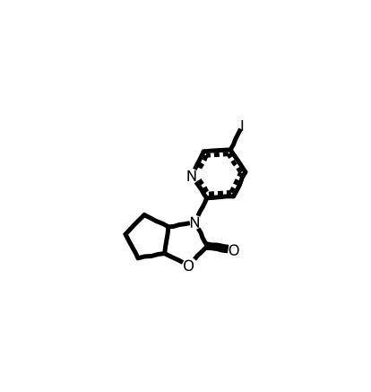 O=C1OC2CCCC2N1c1ccc(I)cn1